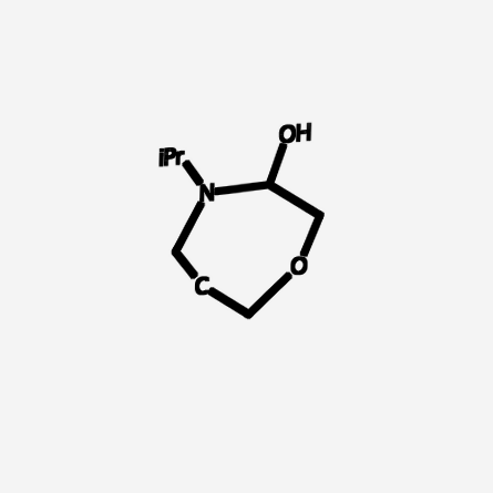 CC(C)N1CCCOCC1O